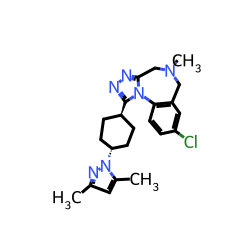 Cc1cc(C)n([C@H]2CC[C@H](c3nnc4n3-c3ccc(Cl)cc3CN(C)C4)CC2)n1